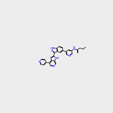 C=C(CCC)Nc1cncc(-c2ccc3[nH]nc(-c4cc5c(-c6ccncc6)cncc5[nH]4)c3c2)c1